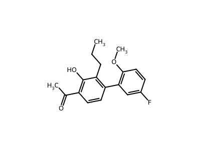 CCCc1c(-c2cc(F)ccc2OC)ccc(C(C)=O)c1O